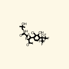 CC(C)(O)CNC(=O)c1nc(C(=O)I)c(-c2ccc(C(O)(C(F)(F)F)C(F)(F)F)c(Cl)c2Cl)s1